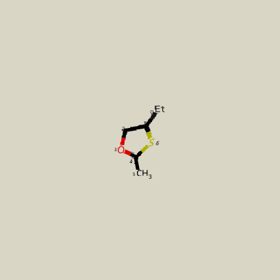 CCC1COC(C)S1